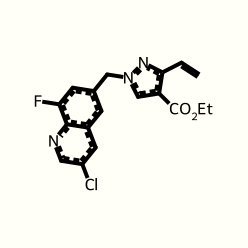 C=Cc1nn(Cc2cc(F)c3ncc(Cl)cc3c2)cc1C(=O)OCC